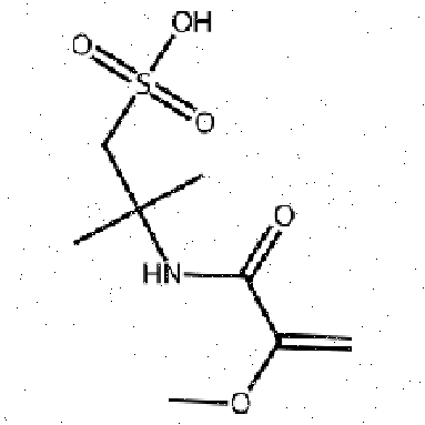 C=C(OC)C(=O)NC(C)(C)CS(=O)(=O)O